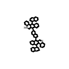 C1=CC2=c3c(-c4cccc5ccccc45)c4ccccc4c(-c4ccc5cc(-c6c7ccccc7c(-c7cccc8ccccc78)c7c6cnc6ccccc67)ccc5c4)c3=CNC2C=C1